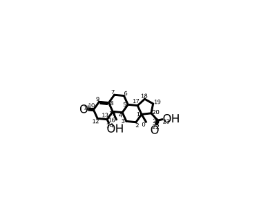 CC12CCC3C(CCC4=CC(=O)CC(O)C43C)C1CCC2C(=O)O